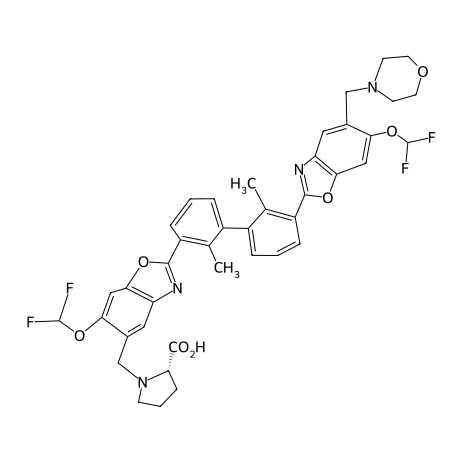 Cc1c(-c2nc3cc(CN4CCOCC4)c(OC(F)F)cc3o2)cccc1-c1cccc(-c2nc3cc(CN4CCC[C@H]4C(=O)O)c(OC(F)F)cc3o2)c1C